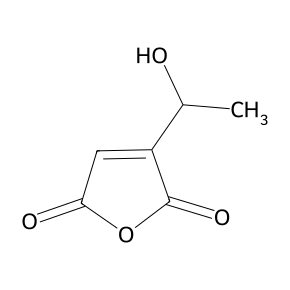 CC(O)C1=CC(=O)OC1=O